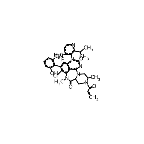 C=CC(=O)N1CC2C(=O)N(C)c3c(Cl)c(-c4c(O)cccc4O)c(F)c4c3c(nc(=O)n4-c3c(C)ccnc3C(C)C)N2CC1C